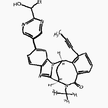 [2H]C([2H])([2H])N1C(=O)c2cccc(C#CC)c2[C@H]2C[C@@H]1c1nc3ccc(-c4cnc(C(O)CC)nc4)cc3n12